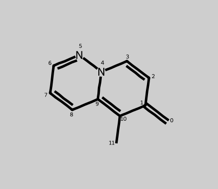 C=C1C=CN2N=CC=CC2=C1C